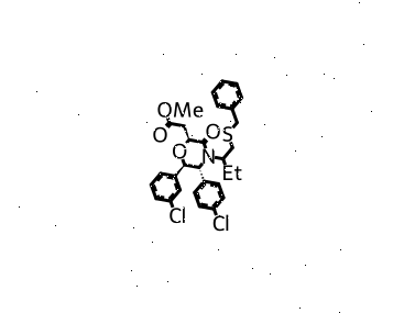 CCC(CSCc1ccccc1)N1C(=O)[C@H](CC(=O)OC)O[C@H](c2cccc(Cl)c2)[C@H]1c1ccc(Cl)cc1